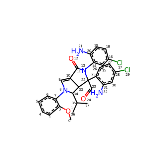 COc1ccccc1N1C=C2C(=O)N(c3cc(Cl)ccc3N)C(C=O)(c3ccc(Cl)cc3N)C2C1C(C)C